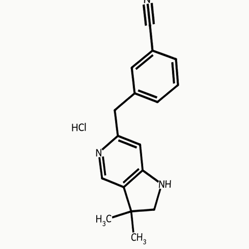 CC1(C)CNc2cc(Cc3cccc(C#N)c3)ncc21.Cl